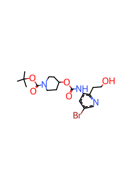 CC(C)(C)OC(=O)N1CCC(OC(=O)Nc2cc(Br)cnc2CCO)CC1